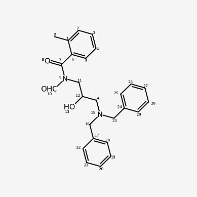 Cc1ccccc1C(=O)N(C=O)CC(O)CN(Cc1ccccc1)Cc1ccccc1